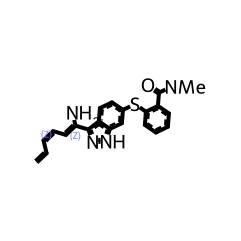 C=C/C=C\C=C(/N)c1n[nH]c2cc(Sc3ccccc3C(=O)NC)ccc12